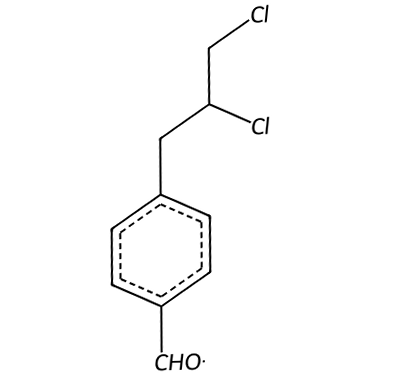 O=[C]c1ccc(CC(Cl)CCl)cc1